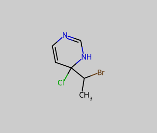 CC(Br)C1(Cl)C=CN=CN1